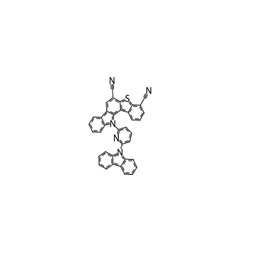 N#Cc1cccc2c1sc1c(C#N)cc3c4ccccc4n(-c4cccc(-n5c6ccccc6c6ccccc65)n4)c3c12